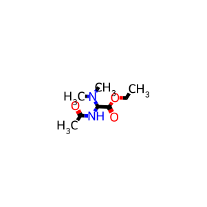 CCOC(=O)C(NC(C)=O)N(C)C